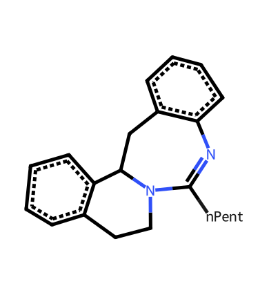 CCCCCC1=Nc2ccccc2CC2c3ccccc3CCN12